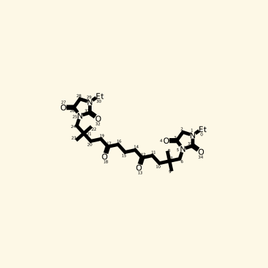 CCN1CC(=O)N(CC(C)(C)CCC(=O)CCCC(=O)CCC(C)(C)CN2C(=O)CN(CC)C2=O)C1=O